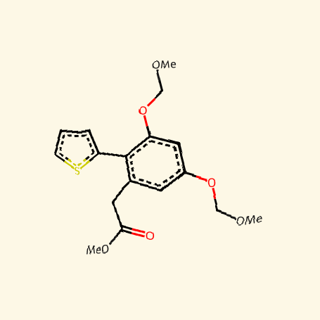 COCOc1cc(CC(=O)OC)c(-c2cccs2)c(OCOC)c1